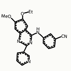 CCOc1cc2c(Nc3cccc(C#N)c3)nc(-c3cccnc3)nc2cc1OC